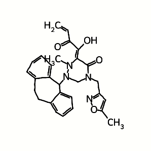 C=CC(=O)/C(O)=C1/C(=O)N(Cc2cc(C)on2)CN(C2c3ccccc3CCc3ccccc32)N1C